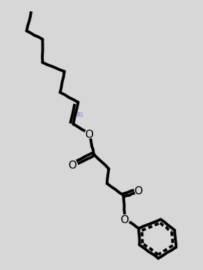 CCCCCC/C=C/OC(=O)CCC(=O)Oc1ccccc1